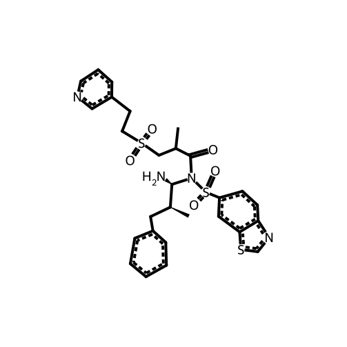 CC(CS(=O)(=O)CCc1cccnc1)C(=O)N([C@H](N)[C@@H](C)Cc1ccccc1)S(=O)(=O)c1ccc2ncsc2c1